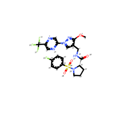 COc1nn(-c2cnc(C(F)(F)F)cn2)cc1CNC(=O)[C@@H]1CCCN1S(=O)(=O)c1ccc(F)cc1